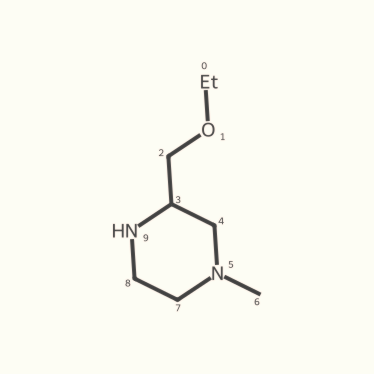 CCOCC1CN(C)CCN1